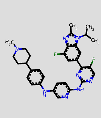 Cc1nc2c(F)cc(-c3nc(Nc4ccc(Nc5ccc(C6CCN(C)CC6)cc5)cn4)ncc3F)cc2n1C(C)C